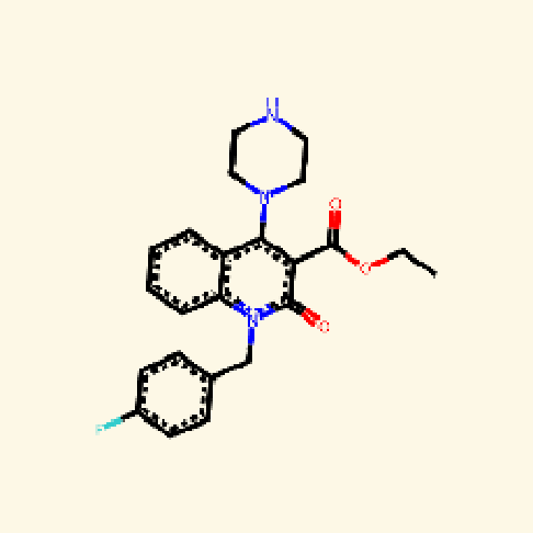 CCOC(=O)c1c(N2CCNCC2)c2ccccc2n(Cc2ccc(F)cc2)c1=O